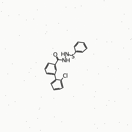 O=C(NNSc1ccccc1)c1cccc(-c2ccccc2Cl)c1